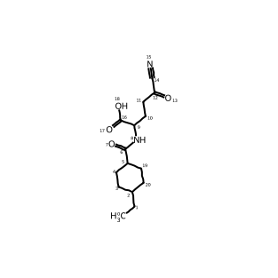 CCC1CCC(C(=O)NC(CCC(=O)C#N)C(=O)O)CC1